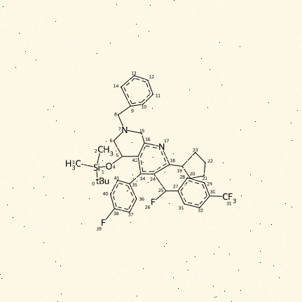 CC(C)(C)[Si](C)(C)OC1CN(Cc2ccccc2)Cc2nc(C3CCCC3)c(C(F)c3ccc(C(F)(F)F)cc3)c(-c3ccc(F)cc3)c21